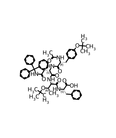 CC(=O)N[C@H](Cc1ccc(OC(C)(C)C)cc1)C(=O)N[C@@H](CC(=O)NC(c1ccccc1)(c1ccccc1)c1ccccc1)C(=O)N[C@H](C(=O)N[C@@H](Cc1ccccc1)C(=O)O)[C@@H](C)OC(C)(C)C